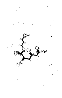 C=C(CC(=O)CC(=O)O)C(=O)OCCCO